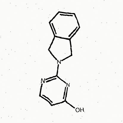 Oc1ccnc(N2Cc3ccccc3C2)n1